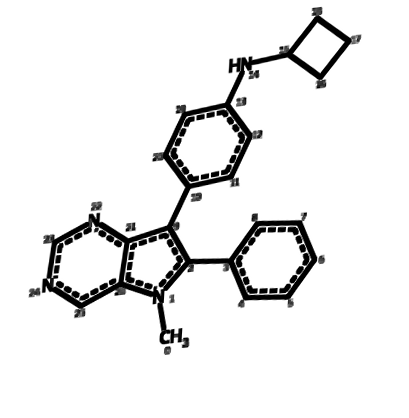 Cn1c(-c2ccccc2)c(-c2ccc(NC3CCC3)cc2)c2ncncc21